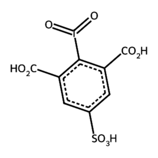 O=C(O)c1cc(S(=O)(=O)O)cc(C(=O)O)c1I(=O)=O